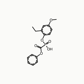 CCc1cc(OC)ccc1OP(=O)(O)C(=O)Oc1ccccc1